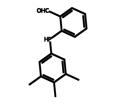 Cc1cc(Pc2ccccc2C=O)cc(C)c1C